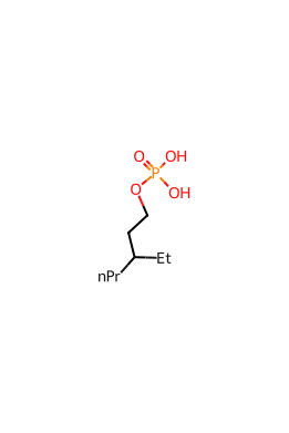 CCCC(CC)CCOP(=O)(O)O